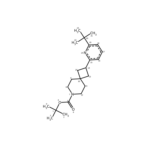 CC(C)(C)OC(=O)N1CCC2(CC1)CC(c1cccc(C(C)(C)C)n1)C2